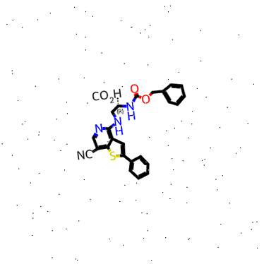 N#Cc1cnc(NC[C@@H](NC(=O)OCc2ccccc2)C(=O)O)c2cc(-c3ccccc3)sc12